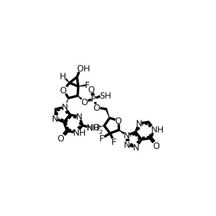 Nc1nc2c(ncn2[C@@H]2O[C@@H]3C(O)[C@]3(F)[C@H]2OP(=O)(S)OC[C@H]2O[C@@H](n3nnc4c(=O)[nH]cnc43)C(F)(F)[C@@H]2O)c(=O)[nH]1